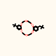 CC(C)(C)Cc1ccc2c(c1)OCCOCCOc1cc(C(C)(C)C)ccc1OCCOCCO2